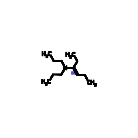 CC/C=C(\CC)N(CCC)CCC